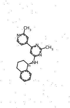 Cc1cc(-c2cc(N[C@@H]3CCCc4ccccc43)nc(C)n2)ccn1